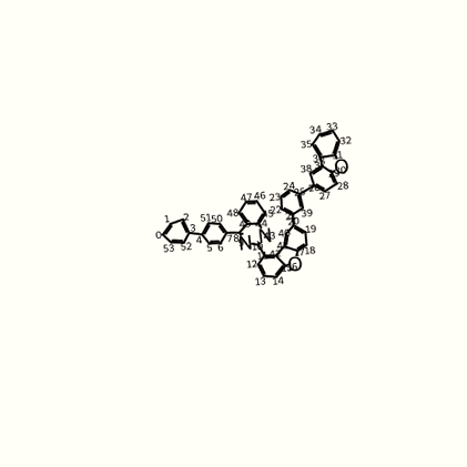 c1ccc(-c2ccc(-c3nc(-c4cccc5oc6ccc(-c7cccc(-c8ccc9oc%10ccccc%10c9c8)c7)cc6c45)nc4ccccc34)cc2)cc1